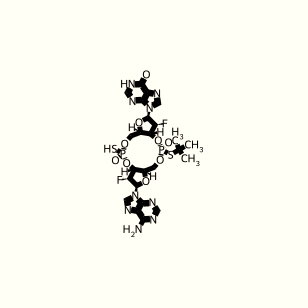 CC(C)(C)SP1(=O)OC[C@H]2O[C@@H](n3cnc4c(N)ncnc43)[C@H](F)[C@@H]2OP(=O)(S)OC[C@H]2O[C@@H](n3cnc4c(=O)[nH]cnc43)[C@H](F)[C@@H]2O1